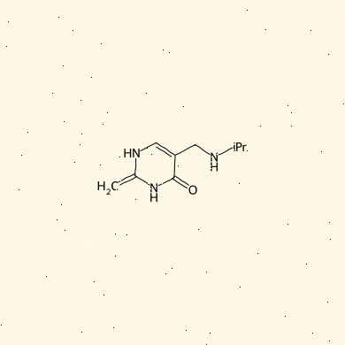 C=C1NC=C(CNC(C)C)C(=O)N1